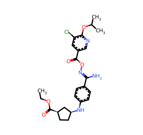 CCOC(=O)[C@@H]1CC[C@H](Nc2ccc(/C(N)=N/OC(=O)c3cnc(OC(C)C)c(Cl)c3)cc2)C1